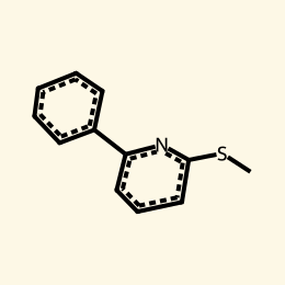 CSc1cccc(-c2ccccc2)n1